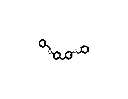 c1ccc(COc2ccc(Cc3ccc(OCc4ccccc4)cc3)cc2)cc1